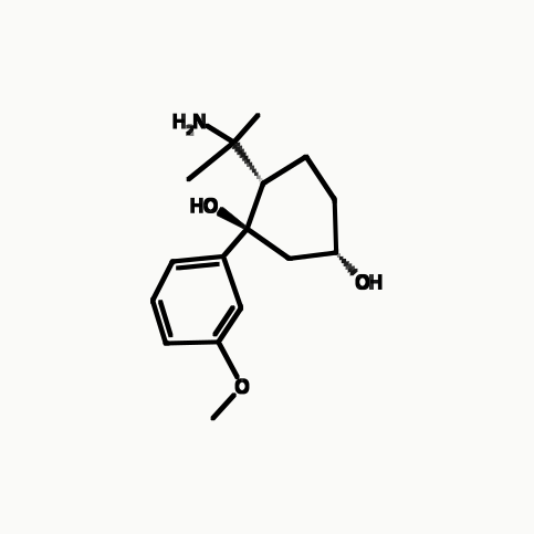 COc1cccc([C@@]2(O)C[C@@H](O)CC[C@H]2C(C)(C)N)c1